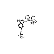 CC(C)(O)CCc1ccc2[nH]cc(C[N+]3(C[N+]4(S(C)(=O)=O)CCCC4)CCCC3)c2c1